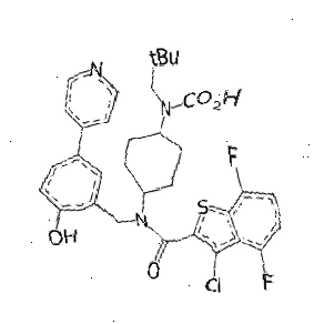 CC(C)(C)CN(C(=O)O)C1CCC(N(Cc2cc(-c3ccncc3)ccc2O)C(=O)c2sc3c(F)ccc(F)c3c2Cl)CC1